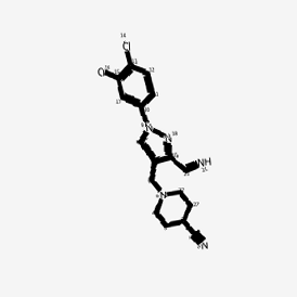 N#CC1CCN(Cc2cn(-c3ccc(Cl)c(Cl)c3)nc2C=N)CC1